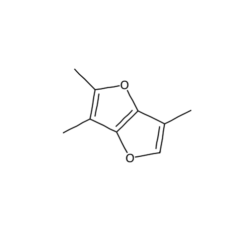 Cc1oc2c(C)coc2c1C